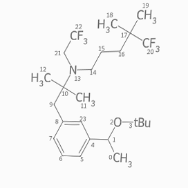 CC(OC(C)(C)C)c1cccc(CC(C)(C)N(CCCC(C)(C)C(F)(F)F)CC(F)(F)F)c1